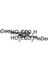 CCCCCCCCCCCCC#CC#CCC(=O)c1c(C(=O)O)c(C(=O)O)c(C(=O)CC#CC#CCCCCCCCCCCCC)c(C(=O)O)c1C(=O)O